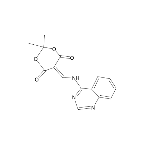 CC1(C)OC(=O)C(=CNc2ncnc3ccccc23)C(=O)O1